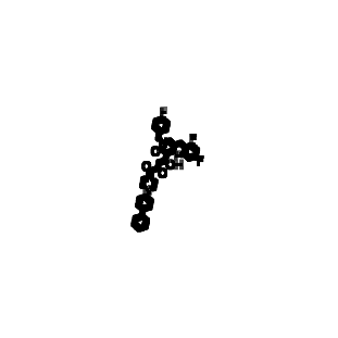 O=C(C=C(O)c1cc(Cc2c(F)cc(F)cc2F)cn(Cc2ccc(F)cc2)c1=O)C(=O)N1CCN(c2ccc(-c3ccccc3)cc2)CC1